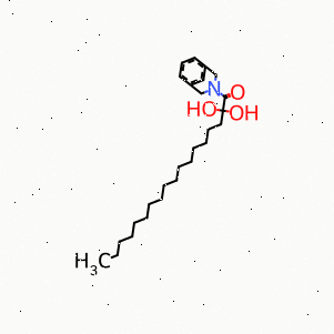 CCCCCCCCCCCCCCCCC(O)(O)C(=O)N1Cc2cccc(c2)C1